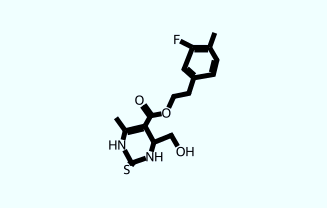 CC1=C(C(=O)OCCc2ccc(C)c(F)c2)C(CO)NC(=S)N1